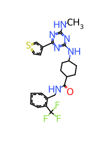 CNc1nc(NC2CCC(C(=O)NCc3ccccc3C(F)(F)F)CC2)nc(-c2ccsc2)n1